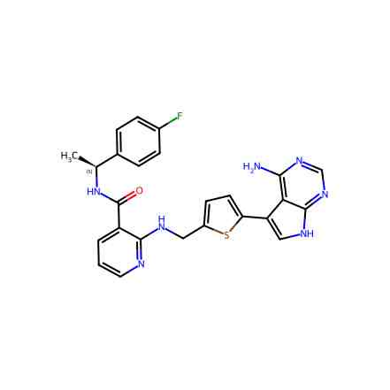 C[C@H](NC(=O)c1cccnc1NCc1ccc(-c2c[nH]c3ncnc(N)c23)s1)c1ccc(F)cc1